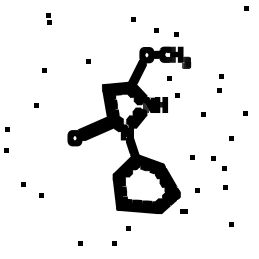 COc1cc(=O)n(-c2ccccc2)[nH]1